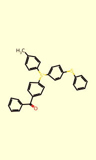 Cc1ccc([S+](c2ccc(Sc3ccccc3)cc2)c2ccc(C(=O)c3ccccc3)cc2)cc1